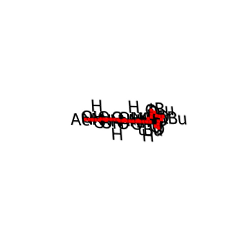 CC(=O)N(O)CCCCCNC(=O)CCC(=O)N(O)CCCCCNC(=O)CCC(=O)N(O)CCCCCNC(=O)[C@@H](N)CCCCNC(=O)CN1CCN(CC(=O)OC(C)(C)C)CCN(CC(=O)OC(C)(C)C)CCN(CC(=O)OC(C)(C)C)CC1